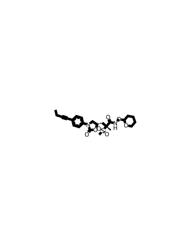 CCC#Cc1ccc(N2C[C@H](C[C@](C)(C(=O)NOC3CCCCO3)S(C)(=O)=O)OC2=O)cc1